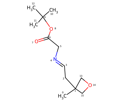 CC1(C/C=N/CC(=O)OC(C)(C)C)COC1